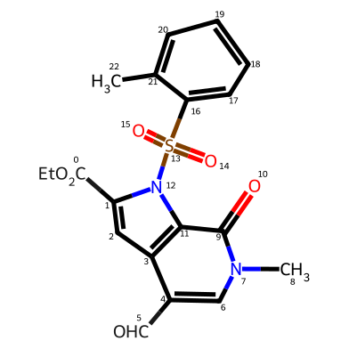 CCOC(=O)c1cc2c(C=O)cn(C)c(=O)c2n1S(=O)(=O)c1ccccc1C